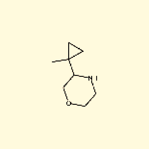 CC1(C2COCCN2)CC1